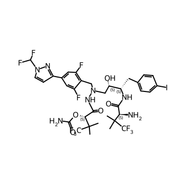 CC(C)([C@H](N)C(=O)N[C@@H](Cc1ccc(I)cc1)[C@@H](O)CN(Cc1c(F)cc(-c2ccn(C(F)F)n2)cc1F)NC(=O)[C@@H](OC(N)=O)C(C)(C)C(F)(F)F)C(F)(F)F